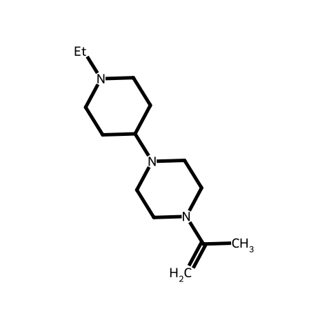 C=C(C)N1CCN(C2CCN(CC)CC2)CC1